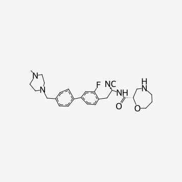 CN1CCN(Cc2ccc(-c3ccc(C[C@@H](C#N)NC(=O)[C@@H]4CNCCCO4)c(F)c3)cc2)CC1